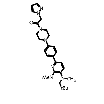 CNc1nc(-c2ccc(N3CCN(C(=O)Cn4cccn4)CC3)cc2)ccc1N(C)CC(C)(C)C